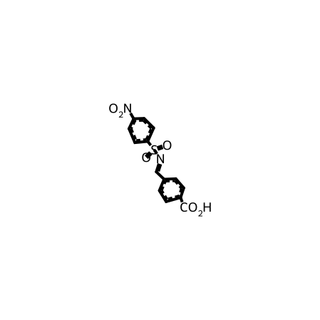 O=C(O)c1ccc(/C=N/S(=O)(=O)c2ccc([N+](=O)[O-])cc2)cc1